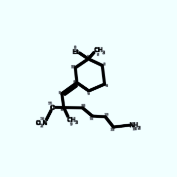 CCC1(C)CCC/C(=C\C(C)(CCCCN)O[N+](=O)[O-])C1